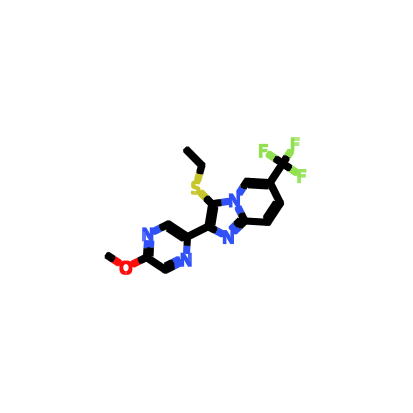 CCSc1c(-c2cnc(OC)cn2)nc2ccc(C(F)(F)F)cn12